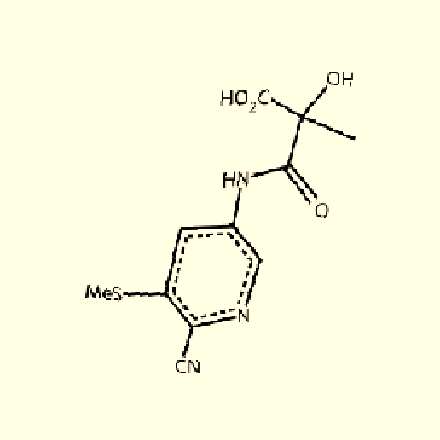 CSc1cc(NC(=O)C(C)(O)C(=O)O)cnc1C#N